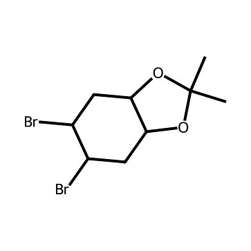 CC1(C)OC2CC(Br)C(Br)CC2O1